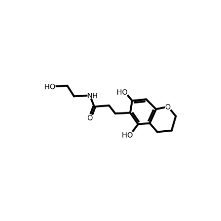 O=C(CCc1c(O)cc2c(c1O)CCCO2)NCCO